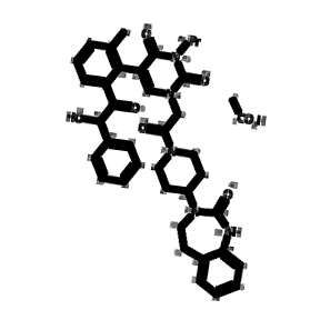 CC(=O)O.Cc1cccc(C(=O)C(O)c2ccccc2)c1-c1cn(CC(=O)N2CCC(N3CCc4ccccc4NC3=O)CC2)c(=O)n(C(C)C)c1=O